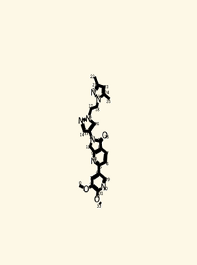 COc1cc(-c2ccc3c(n2)CN(c2cnn(CCn4nc(C)cc4C)c2)C3=O)cnc1OC